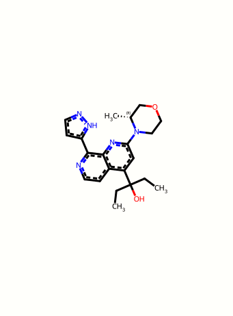 CCC(O)(CC)c1cc(N2CCOC[C@H]2C)nc2c(-c3ccn[nH]3)nccc12